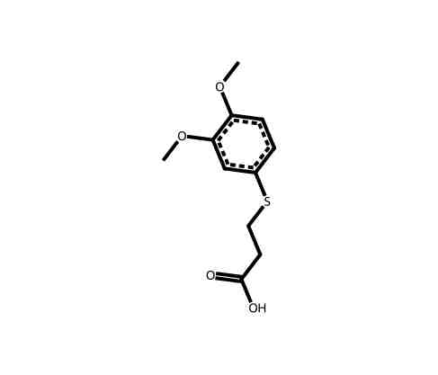 COc1ccc(SCCC(=O)O)cc1OC